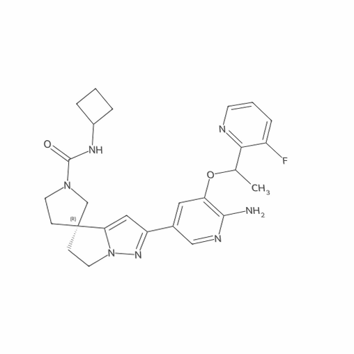 CC(Oc1cc(-c2cc3n(n2)CC[C@@]32CCN(C(=O)NC3CCC3)C2)cnc1N)c1ncccc1F